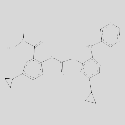 CN(C)C(=O)c1nc(C2CC2)ccc1NC(=O)Oc1nc(C2CC2)cnc1Nc1cncnc1